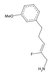 COc1cccc(CCC=C(F)CN)c1